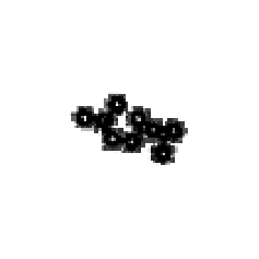 c1ccc(-c2cc(-c3ccccc3)nc(-c3cccc(-c4cccc(C5c6ccccc6-c6cc7c(cc65)C(c5ccccc5)c5ccccc5-7)c4)c3)c2)cc1